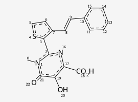 Cn1c(-c2sccc2/C=C/c2ccccc2)nc(C(=O)O)c(O)c1=O